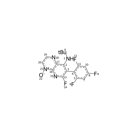 CC(C)(C)Nc1c(-c2c(F)cc(F)cc2F)c(F)nc2c1ncc[n+]2[O-]